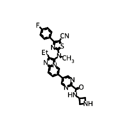 CCc1nc2ccc(-c3cnc(C(=O)NC4CNC4)nc3)cn2c1N(C)c1nc(-c2ccc(F)cc2)c(C#N)s1